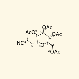 CC(=O)OC[C@H]1O[C@H](CCC#N)[C@@H](OC(C)=O)[C@@H](OC(C)=O)[C@@H]1OC(C)=O